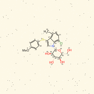 COc1ccc(Sc2cn([C@@H]3O[C@H](CO)[C@@H](O)[C@H](O)[C@H]3O)c3c(Cl)ccc(C)c23)cc1